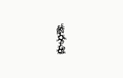 Cc1cc(-c2noc(C(F)(F)F)n2)cc(C)c1OCCCc1cccn(C)c1=O